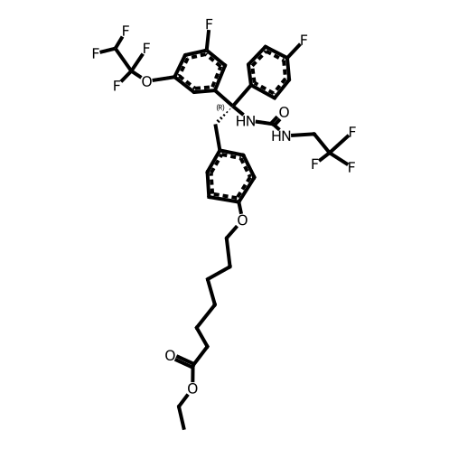 CCOC(=O)CCCCCCOc1ccc(C[C@@](NC(=O)NCC(F)(F)F)(c2ccc(F)cc2)c2cc(F)cc(OC(F)(F)C(F)F)c2)cc1